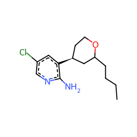 CCCCC1C[C@@H](c2cc(Cl)cnc2N)CCO1